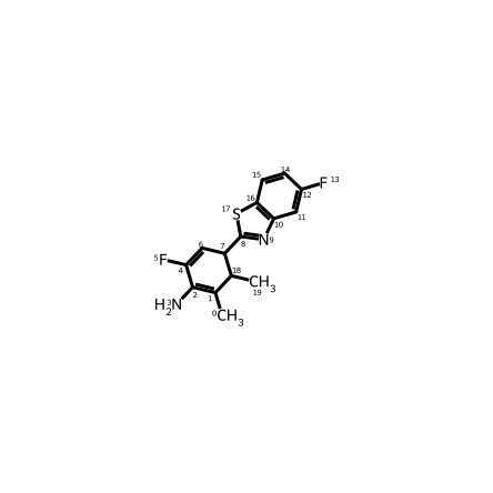 CC1=C(N)C(F)=CC(c2nc3cc(F)ccc3s2)C1C